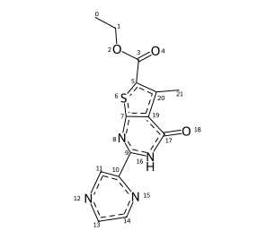 CCOC(=O)c1sc2nc(-c3cnccn3)[nH]c(=O)c2c1C